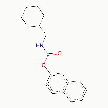 O=C(NCC1CCCCC1)Oc1ccc2ccccc2c1